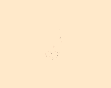 CC(C)(CNc1ncnc2sccc12)N1CCOCC1